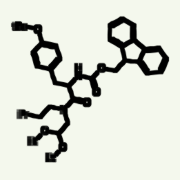 CCOC(CN(CCC(C)C)C(=O)C(Cc1ccc(OC(C)(C)C)cc1)NC(=O)OCC1c2ccccc2-c2ccccc21)OCC